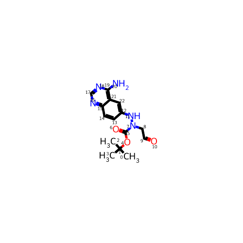 CC(C)(C)OC(=O)N(CC=O)Nc1ccc2ncnc(N)c2c1